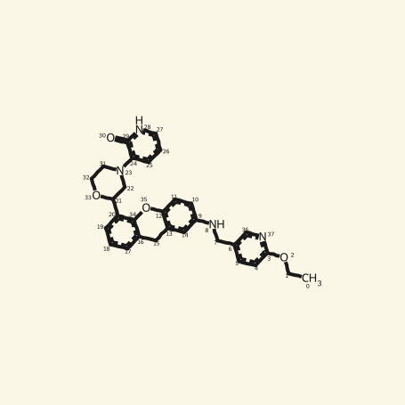 CCOc1ccc(CNc2ccc3c(c2)Cc2cccc(C4CN(c5ccc[nH]c5=O)CCO4)c2O3)cn1